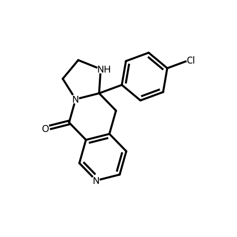 O=C1c2cnccc2CC2(c3ccc(Cl)cc3)NCCN12